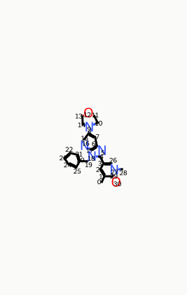 Cc1cc(-c2nc3cc(N4CCOCC4)cnc3n2Cc2ccccc2)cn(C)c1=O